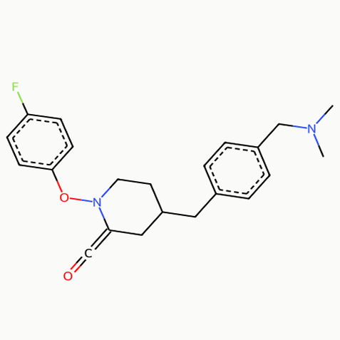 CN(C)Cc1ccc(CC2CCN(Oc3ccc(F)cc3)C(=C=O)C2)cc1